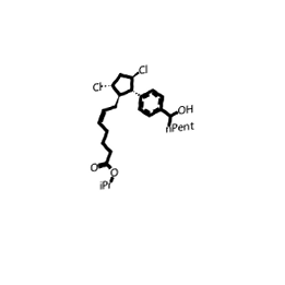 CCCCCC(O)c1ccc([C@@H]2[C@@H](C/C=C\CCCC(=O)OC(C)C)[C@H](Cl)C[C@H]2Cl)cc1